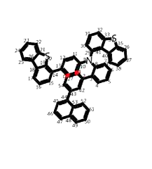 c1cc(-c2ccccc2N(c2ccc(-c3cccc4c3sc3ccccc34)cc2)c2cccc3sc4ccccc4c23)cc(-c2cccc3ccccc23)c1